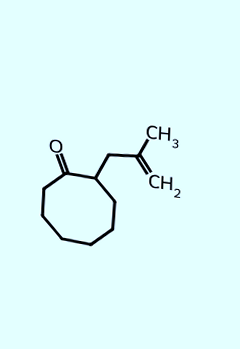 C=C(C)CC1CCCCCCC1=O